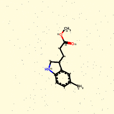 Bc1ccc2c(c1)C(CCC(=O)OC)CN2